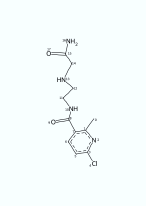 Cc1nc(Cl)ccc1C(=O)NCCNCC(N)=O